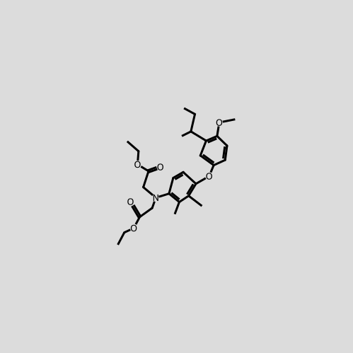 CCOC(=O)CN(CC(=O)OCC)c1ccc(Oc2ccc(OC)c(C(C)CC)c2)c(C)c1C